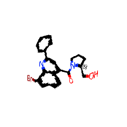 O=C(c1cc(-c2ccccc2)nc2c(Br)cccc12)N1CCC[C@H]1CO